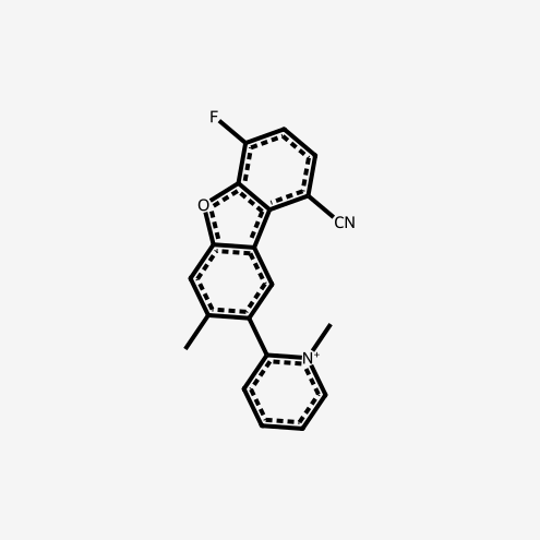 Cc1cc2oc3c(F)ccc(C#N)c3c2cc1-c1cccc[n+]1C